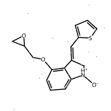 [O-][NH+]1CC(=Cc2cccs2)c2c(OCC3CO3)cccc21